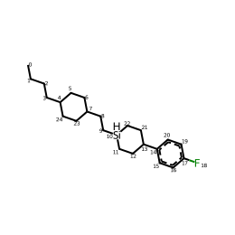 CCCCC1CCC(CC[SiH]2CCC(c3ccc(F)cc3)CC2)CC1